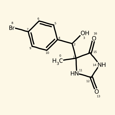 CC1(C(O)c2ccc(Br)cc2)NC(=O)NC1=O